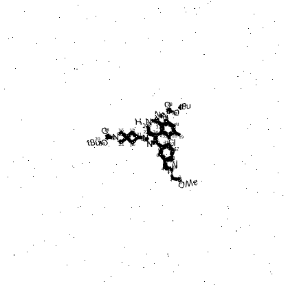 COCCn1cc2cc(-c3nn(C4CC5(C4)CN(C(=O)OC(C)(C)C)C5)c(C)c3-c3c(Cl)c(C)cc4c3c(N)nn4C(=O)OC(C)(C)C)ccc2n1